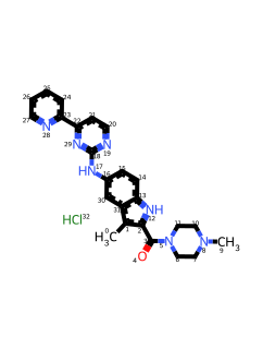 Cc1c(C(=O)N2CCN(C)CC2)[nH]c2ccc(Nc3nccc(-c4ccccn4)n3)cc12.Cl